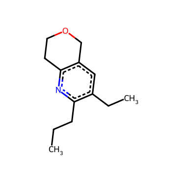 CCCc1nc2c(cc1CC)COCC2